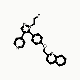 FCCn1ncc(-c2ccncc2)c1-c1ccc(OCc2ccc3ccccc3n2)cc1